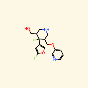 OCC1CNCC(COc2cccnc2)C1(F)c1coc(F)c1